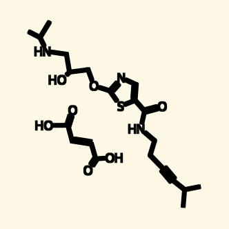 CC(C)C#CCCNC(=O)c1cnc(OCC(O)CNC(C)C)s1.O=C(O)C=CC(=O)O